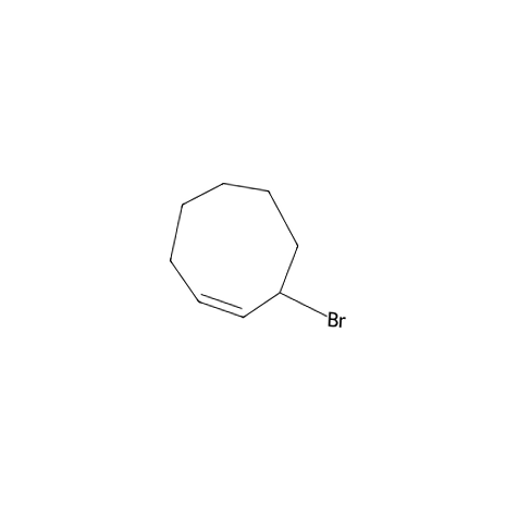 BrC1C=CCCCCC1